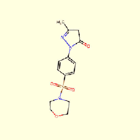 CC1=NN(c2ccc(S(=O)(=O)N3CCOCC3)cc2)C(=O)C1